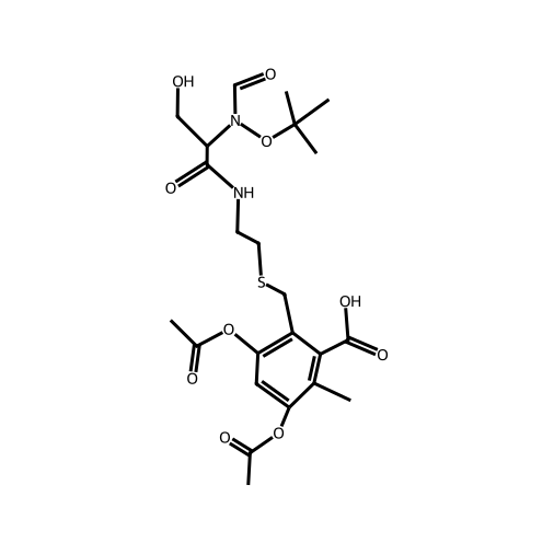 CC(=O)Oc1cc(OC(C)=O)c(CSCCNC(=O)C(CO)N(C=O)OC(C)(C)C)c(C(=O)O)c1C